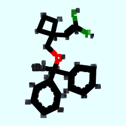 CC(C)(C)[Si](OCC1(C=C(F)F)CCC1)(c1ccccc1)c1ccccc1